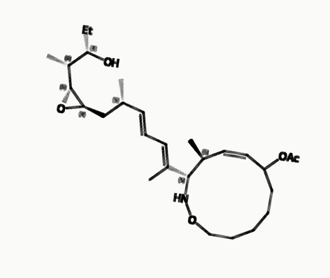 CC[C@H](O)[C@@H](C)[C@H]1O[C@@H]1C[C@H](C)C=CC=C(C)[C@H]1NOCCCCCC(OC(C)=O)C=C[C@@H]1C